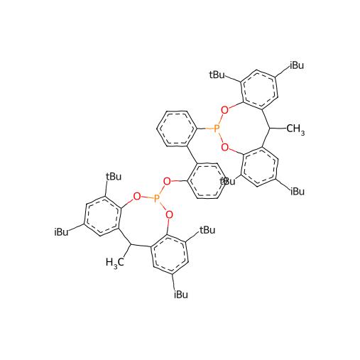 CCC(C)c1cc2c(c(C(C)(C)C)c1)OP(Oc1ccccc1-c1ccccc1P1Oc3c(cc(C(C)CC)cc3C(C)(C)C)C(C)c3cc(C(C)CC)cc(C(C)(C)C)c3O1)Oc1c(cc(C(C)CC)cc1C(C)(C)C)C2C